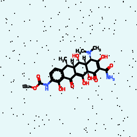 C[C@H]1c2ccc(NC(=O)OC(C)(C)C)c(O)c2C(=O)C2=C(O)[C@]3(O)C(=O)C(C(N)=O)=C(O)[C@@H](N(C)C)[C@@H]3[C@@H](O)[C@@H]21